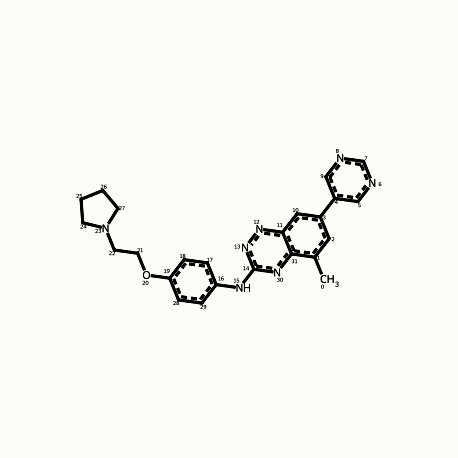 Cc1cc(-c2cncnc2)cc2nnc(Nc3ccc(OCCN4CCCC4)cc3)nc12